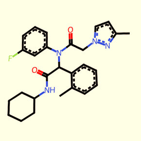 Cc1ccn(CC(=O)N(c2cccc(F)c2)C(C(=O)NC2CCCCC2)c2ccccc2C)n1